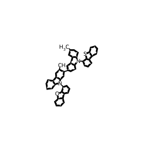 Cc1ccc2c(c1)c1cc(-c3cc4c(cc3C)c3ccccc3n4-c3cccc4c3oc3ccccc34)ccc1n2-c1cccc2c1sc1ccccc12